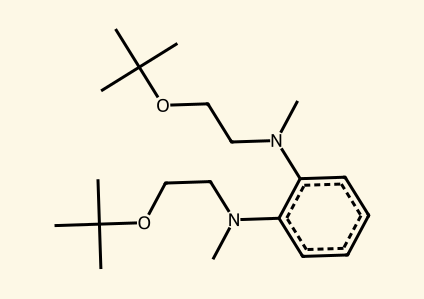 CN(CCOC(C)(C)C)c1ccccc1N(C)CCOC(C)(C)C